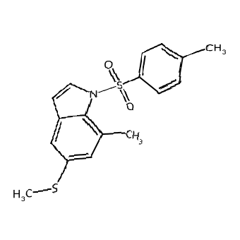 CSc1cc(C)c2c(ccn2S(=O)(=O)c2ccc(C)cc2)c1